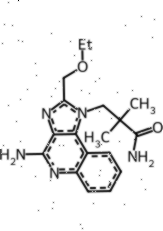 CCOCc1nc2c(N)nc3ccccc3c2n1CC(C)(C)C(N)=O